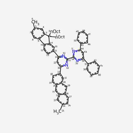 CCCCCCCCC1(CCCCCCCC)c2cc(C)ccc2-c2ccc(-c3cc(-c4ccc5cc6cc(C)ccc6cc5c4)nc(-c4nc(-c5ccccc5)cc(-c5ccccc5)n4)n3)cc21